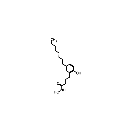 CCCCCCCCc1ccc(O)c(CCCC(=O)NO)c1